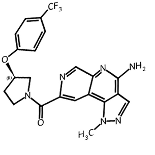 Cn1ncc2c(N)nc3cnc(C(=O)N4CC[C@@H](Oc5ccc(C(F)(F)F)cc5)C4)cc3c21